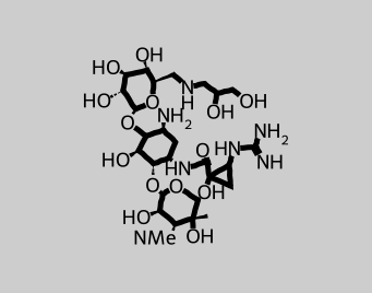 CN[C@@H]1[C@@H](O)[C@@H](O[C@H]2[C@H](NC(=O)C3(O)CC3NC(=N)N)C[C@H](N)C(O[C@H]3O[C@H](CNCC(O)CO)[C@@H](O)[C@H](O)[C@H]3O)[C@@H]2O)OC[C@]1(C)O